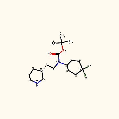 CC(C)(C)OC(=O)N(CC[C@H]1CCCNC1)C1CCC(F)(F)CC1